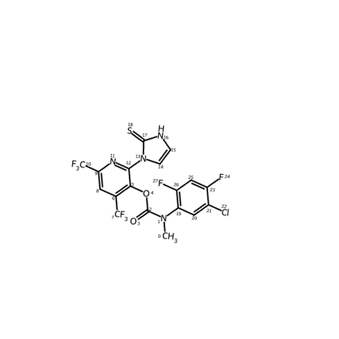 CN(C(=O)Oc1c(C(F)(F)F)cc(C(F)(F)F)nc1-n1cc[nH]c1=S)c1cc(Cl)c(F)cc1F